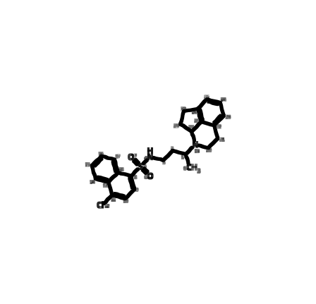 CC(CCNS(=O)(=O)c1ccc(Cl)c2ccccc12)N1CCc2cccc3c2C1CC3